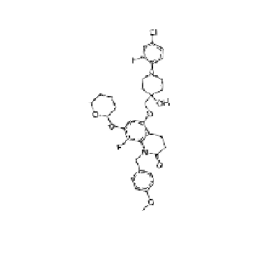 COc1ccc(CN2C(=O)CCc3c(OCC4(O)CCN(c5ccc(Cl)cc5F)CC4)cc(OC4CCCCO4)c(F)c32)cc1